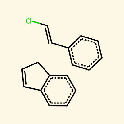 C1=Cc2ccccc2C1.ClC=Cc1ccccc1